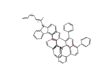 C=C/C=C\C=C(/C)n1c2ccccc2c2c(-c3cccc(N(c4ccccc4-c4ccc(-c5ccccc5)cc4)c4cccc(-c5ccccc5)c4-c4ccccc4-c4ccccc4)c3)cccc21